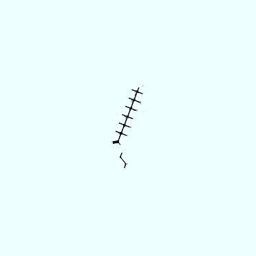 O=C(OCCO)C(F)(F)C(F)(F)C(F)(F)C(F)(F)C(F)(F)C(F)(F)C(F)(F)F